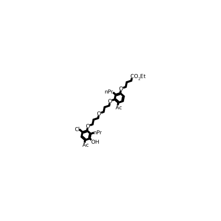 CCCc1c(O)c(C(C)=O)cc(Cl)c1OCCCOCCCOc1c(C(C)=O)ccc(OCCCC(=O)OCC)c1CCC